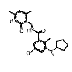 Cc1cc(C)c(CNC(=O)c2cc(Cl)cc(N(C)C3CCCC3)c2C)c(=O)[nH]1